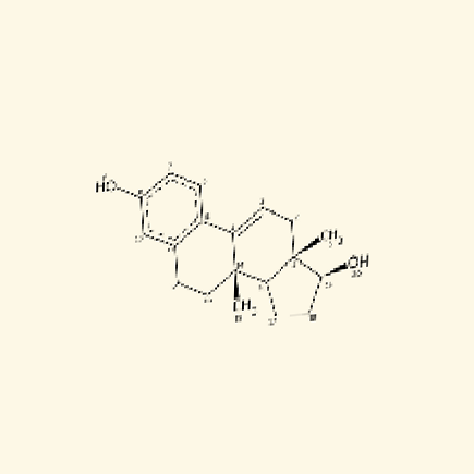 C[C@]12CC=C3c4ccc(O)cc4CC[C@@]3(C)C1CC[C@@H]2O